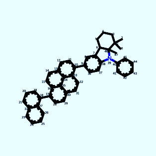 CC1(C)CCCC2c3cc(-c4ccc5ccc6c(-c7cccc8ccccc78)ccc7ccc4c5c76)ccc3N(c3ccccc3)C21C